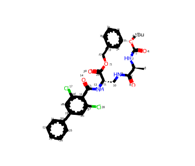 C[C@H](NC(=O)OC(C)(C)C)C(=O)NC[C@H](NC(=O)c1c(Cl)cc(-c2ccccc2)cc1Cl)C(=O)OCc1ccccc1